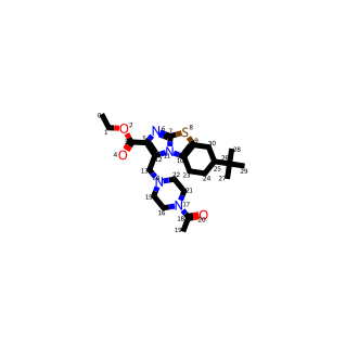 CCOC(=O)c1nc2sc3c(n2c1CN1CCN(C(C)=O)CC1)CCC(C(C)(C)C)C3